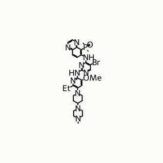 CCc1nc(Nc2ncc(Br)c(Nc3ccc4nccnc4c3P(C)(C)=O)n2)c(OC)cc1N1CCC(N2CCN(C)CC2)CC1